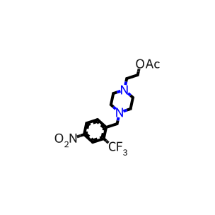 CC(=O)OCCN1CCN(Cc2ccc([N+](=O)[O-])cc2C(F)(F)F)CC1